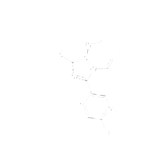 CNN1C(N)N=C(c2ccc(Cl)nc2)N1C=S